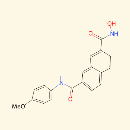 COc1ccc(NC(=O)c2ccc3ccc(C(=O)NO)cc3c2)cc1